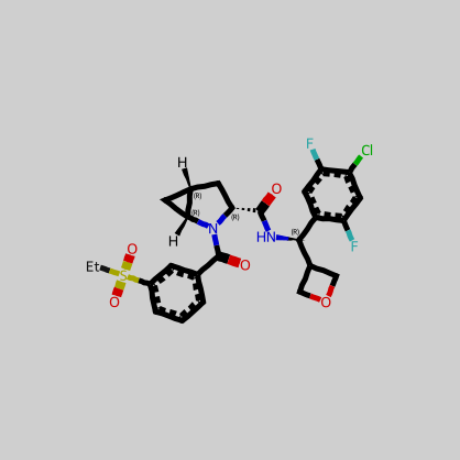 CCS(=O)(=O)c1cccc(C(=O)N2[C@@H](C(=O)N[C@@H](c3cc(F)c(Cl)cc3F)C3COC3)C[C@H]3C[C@H]32)c1